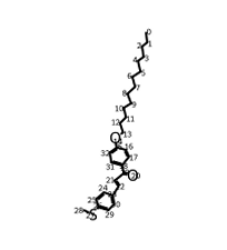 CCCCCCCCCCCCCCOc1ccc(C(=O)C=Cc2ccc(SC)cc2)cc1